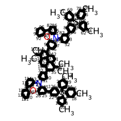 Cc1ccc([Si](c2ccc(C)cc2)(c2ccc(C)cc2)c2ccc(-c3cccc(N(c4ccc(-c5cc(C(C)C)c6ccc7c(-c8ccc(N(c9cccc(-c%10ccc([Si](c%11ccc(C)cc%11)(c%11ccc(C)cc%11)c%11ccc(C)cc%11)cc%10)c9)c9cccc%10c9oc9ccccc9%10)cc8)cc(C(C)C)c8ccc5c6c78)cc4)c4cccc5c4oc4ccccc45)c3)cc2)cc1